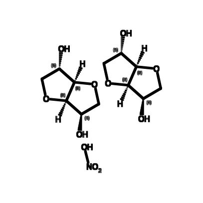 O=[N+]([O-])O.O[C@@H]1CO[C@H]2[C@@H]1OC[C@@H]2O.O[C@@H]1CO[C@H]2[C@@H]1OC[C@@H]2O